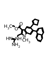 CCOC(=O)c1c(CNC(=N)N)n(C)c2cc(-c3cccc4ccccc34)c(C3=CCCC3)cc12